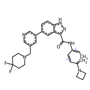 C=C(/C=C\C(=C/C)NC(=O)c1n[nH]c2ccc(-c3cncc(CN4CCC(F)(F)CC4)c3)cc12)N1CCC1